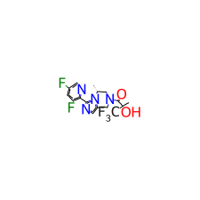 C[C@@H]1CN(C(=O)C(C)(O)C(F)(F)F)Cc2cnc(-c3ncc(F)cc3F)n21